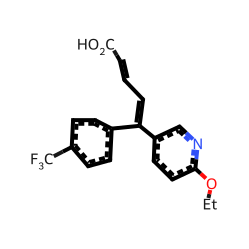 CCOc1ccc(C(=CC=CC(=O)O)c2ccc(C(F)(F)F)cc2)cn1